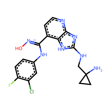 NC1(CNc2nc3nccc(/C(=N/O)Nc4ccc(F)c(Cl)c4)c3[nH]2)CC1